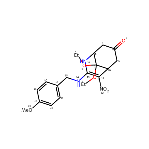 CCOC1(OCC)C2CC(=O)CC1C([N+](=O)[O-])=C(NCc1ccc(OC)cc1)N2